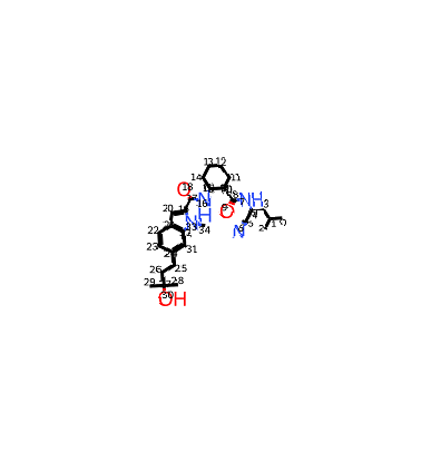 CC(C)C[C@@H](C#N)NC(=O)[C@@H]1CCCC[C@@H]1NC(=O)c1cc2ccc(CCC(C)(C)O)cc2n1C